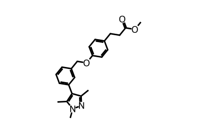 COC(=O)CCc1ccc(OCc2cccc(-c3c(C)nn(C)c3C)c2)cc1